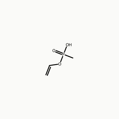 C=COP(C)(=O)O